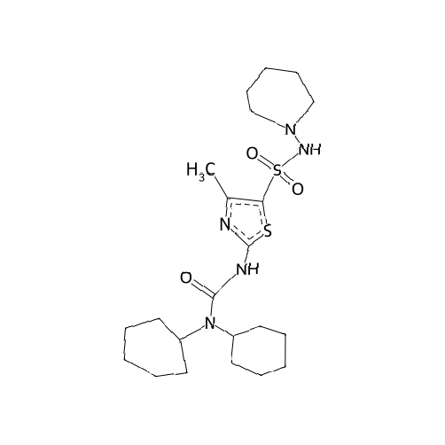 Cc1nc(NC(=O)N(C2CCCCC2)C2CCCCC2)sc1S(=O)(=O)NN1CCCCC1